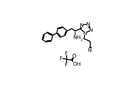 N#CCCn1nnnc1[C@@H](N)Cc1ccc(-c2ccccc2)cc1.O=C(O)C(F)(F)F